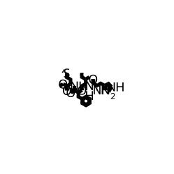 CCC(C)C(COC(Cc1ccccc1)C(=O)NC(CCSC)C(=O)OC)NC(=O)[C@@H](N)Cc1c[nH]cn1